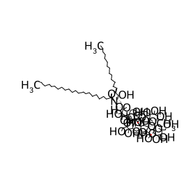 CCCCCCCCCCCCC/C=C/[C@@H](O)[C@H](CO[C@@H]1OC(CO)[C@@H](O[C@@H]2OC(CO)[C@H](O)[C@H](O[C@@H]3OC(CO)[C@@H](O[C@@H]4OC(CO)[C@H](O)[C@H](O)C4O)[C@H](O[C@H]4OC(C)[C@@H](O)C(O)[C@@H]4O)C3NC(C)=O)C2O)[C@H](O)C1O)NC(=O)CCCCCCCCCCCCCCCCCCCCC